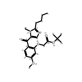 CCCCc1ncc(C(=S)c2ccc(OC)cc2OCC(=O)OC(C)(C)C)n1C